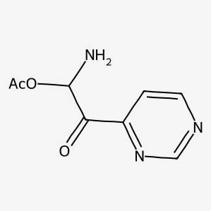 CC(=O)OC(N)C(=O)c1ccncn1